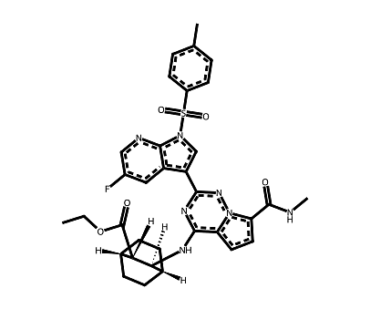 CCOC(=O)[C@H]1[C@H]2CC[C@H](CC2)[C@@H]1Nc1nc(-c2cn(S(=O)(=O)c3ccc(C)cc3)c3ncc(F)cc23)nn2c(C(=O)NC)ccc12